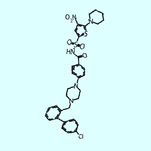 O=C(NS(=O)(=O)c1cc([N+](=O)[O-])c(N2CCCCC2)s1)c1ccc(N2CCN(Cc3ccccc3-c3ccc(Cl)cc3)CC2)cc1